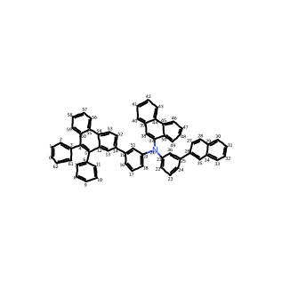 c1ccc(-c2c(-c3ccccc3)c3cc(-c4cccc(N(c5cccc(-c6ccc7ccccc7c6)c5)c5cc6ccccc6c6ccccc56)c4)ccc3c3ccccc23)cc1